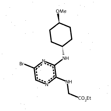 CCOC(=O)CNc1ncc(Br)nc1N[C@H]1CC[C@H](OC)CC1